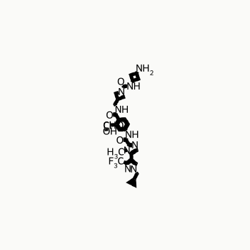 Cn1c(-c2cn(CC3CC3)nc2C(F)(F)F)cnc1C(=O)Nc1ccc(C(=O)NCC2CN(C(=O)NC3CC(N)C3)C2)c(Cl)c1.O=CO